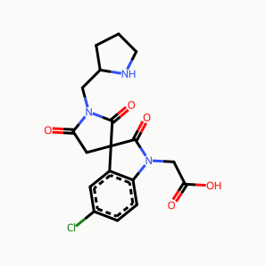 O=C(O)CN1C(=O)C2(CC(=O)N(CC3CCCN3)C2=O)c2cc(Cl)ccc21